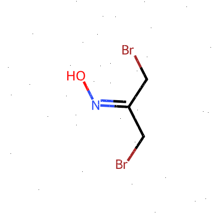 ON=C(CBr)CBr